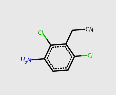 N#CCc1c(Cl)ccc(N)c1Cl